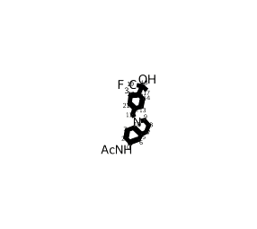 CC(=O)Nc1ccc2c(c1)CCCN2Cc1ccc(C(C)(O)C(F)(F)F)cc1